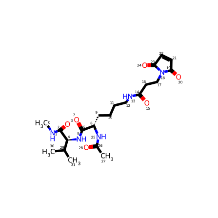 CNC(=O)[C@@H](NC(=O)[C@H](CCCCNC(=O)CCN1C(=O)C=CC1=O)NC(C)=O)C(C)C